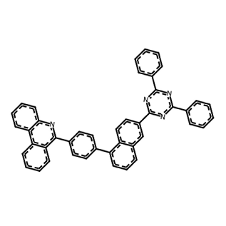 c1ccc(-c2nc(-c3ccccc3)nc(-c3ccc4c(-c5ccc(-c6nc7ccccc7c7ccccc67)cc5)cccc4c3)n2)cc1